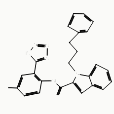 O=C(Nc1ccc(Br)cc1-c1nnn[nH]1)c1cc2ccccc2n1CCCc1ccccc1